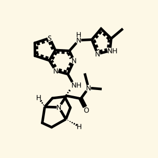 Cc1cc(Nc2nc(N[C@@H]3C[C@H]4CC[C@@H](C3)N4CC(=O)N(C)C)nc3ccsc23)n[nH]1